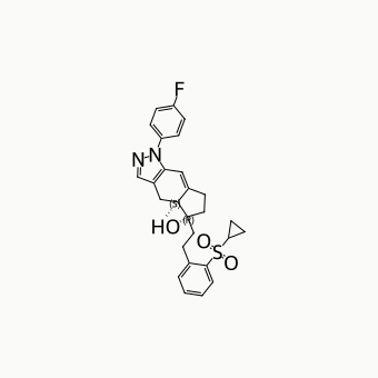 C[C@]12Cc3cnn(-c4ccc(F)cc4)c3C=C1CC[C@@]2(O)CCc1ccccc1S(=O)(=O)C1CC1